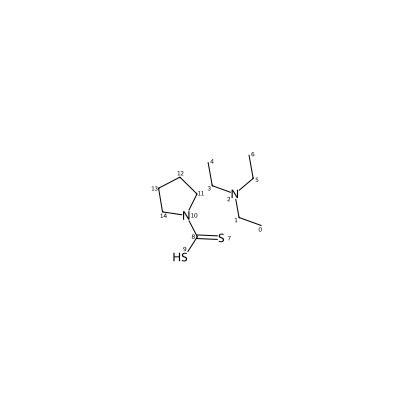 CCN(CC)CC.S=C(S)N1CCCC1